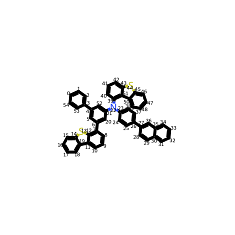 c1ccc(-c2cc(-c3cccc4c3sc3ccccc34)cc(N(c3ccc(-c4ccc5ccccc5c4)cc3)c3cccc4sc5ccccc5c34)c2)cc1